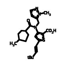 CC1CCC(C(=O)N(Cc2ccnn2C)c2cc(C#CC(C)(C)C)sc2C(=O)O)CC1